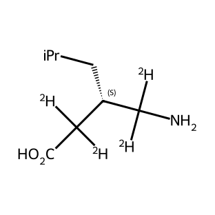 [2H]C([2H])(N)[C@@H](CC(C)C)C([2H])([2H])C(=O)O